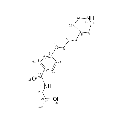 Cc1cc(OCCCC2CCNCC2)ccc1C(=O)NC[C@@H](C)O